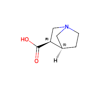 O=C(O)[C@H]1CN2CC[C@@H]1C2